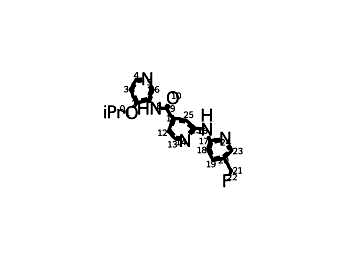 CC(C)Oc1ccncc1NC(=O)c1ccnc(Nc2ccc(CF)cn2)c1